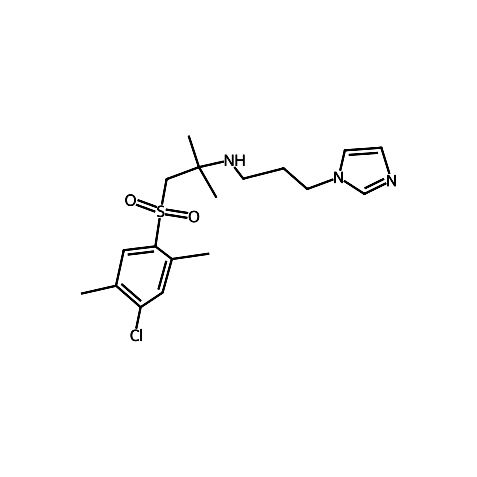 Cc1cc(S(=O)(=O)CC(C)(C)NCCCn2ccnc2)c(C)cc1Cl